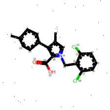 Cc1ccc(-c2c(C)cn(Cc3c(Cl)cccc3Cl)c2C(=O)O)cc1